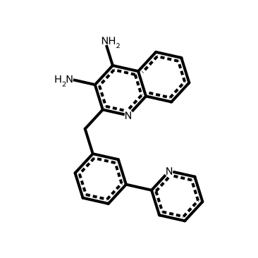 Nc1c(Cc2cccc(-c3ccccn3)c2)nc2ccccc2c1N